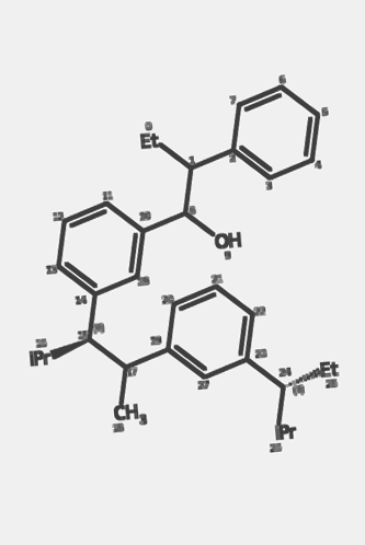 CCC(c1ccccc1)C(O)c1cccc([C@H](C(C)C)C(C)c2cccc([C@H](CC)C(C)C)c2)c1